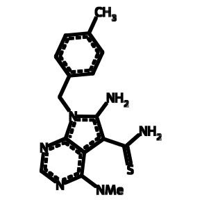 CNc1ncnc2c1c(C(N)=S)c(N)n2Cc1ccc(C)cc1